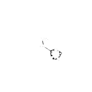 CNNc1nnco1